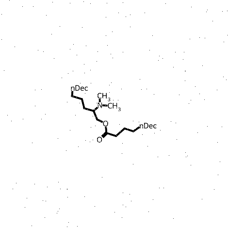 CCCCCCCCCCCCCC(=O)OCC(CCCCCCCCCCCCC)N(C)C